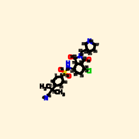 CC(C)(C#N)c1ccc(S(=O)(=O)Nc2ccc(Cl)c3c2C(=O)N(Cc2cccnc2)C3=O)cc1